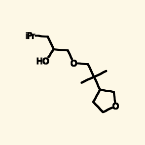 CC(C)CC(O)COCC(C)(C)C1CCOC1